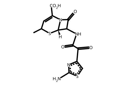 CC1C=C(C(=O)O)N2C(=O)C(NC(=O)C(=O)c3csc(N)n3)[C@@H]2S1